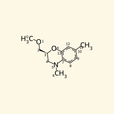 COC[C@@H]1CN(C)c2ccc(C)cc2O1